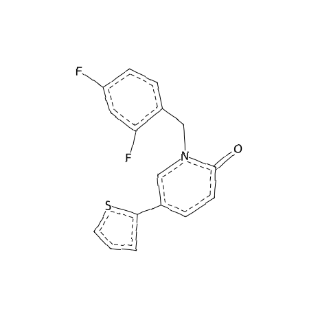 O=c1ccc(-c2cccs2)cn1Cc1ccc(F)cc1F